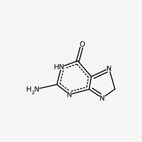 Nc1nc2c(c(=O)[nH]1)=NCN=2